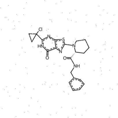 O=C(NCc1ccccc1)[C@H]1CCCCN1c1nc2c(=O)[nH]c(C3(Cl)CC3)nc2s1